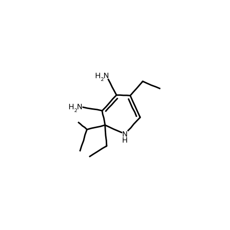 CCC1=CNC(CC)(C(C)C)C(N)=C1N